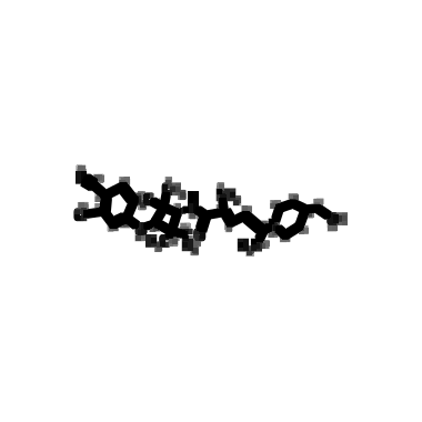 CC1(C)[C@H](NC(=O)/C(N)=C/C=C(\N)N2CCC(CO)CC2)C(C)(C)[C@H]1Oc1ccc(C#N)c(Cl)c1